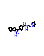 O=C(NCCN1CCCC1)c1ccc(-c2n[nH]c3c2Cc2ccccc2-3)cc1